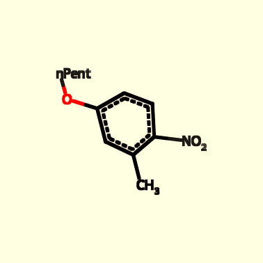 CCCCCOc1ccc([N+](=O)[O-])c(C)c1